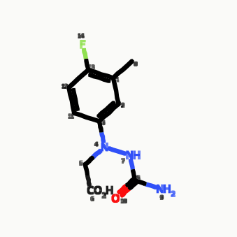 Cc1cc(N(CC(=O)O)NC(N)=O)ccc1F